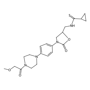 COCC(=O)N1CCN(c2ccc(N3CC(CNC(=S)C4CC4)OC3=O)cc2)CC1